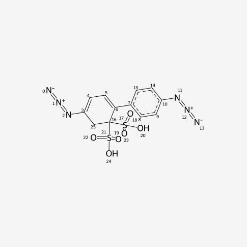 [N-]=[N+]=NC1=CC=C(c2ccc(N=[N+]=[N-])cc2)C(S(=O)(=O)O)(S(=O)(=O)O)C1